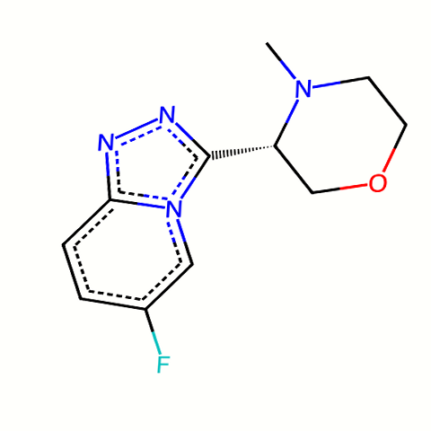 CN1CCOC[C@@H]1c1nnc2ccc(F)cn12